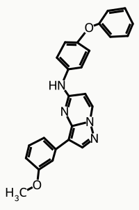 COc1cccc(-c2cnn3ccc(Nc4ccc(Oc5ccccc5)cc4)nc23)c1